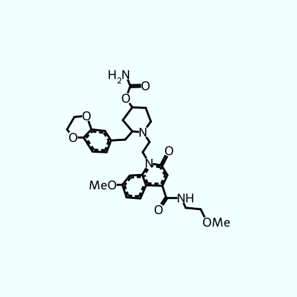 COCCNC(=O)c1cc(=O)n(CCN2CCC(OC(N)=O)CC2Cc2ccc3c(c2)OCCO3)c2cc(OC)ccc12